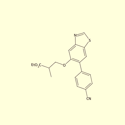 CCOC(=O)C(C)COc1cc2ncsc2cc1-c1ccc(C#N)cc1